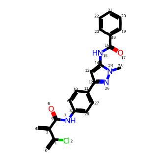 C=C(Cl)C(=C)C(=O)Nc1ccc(-c2cc(NC(=O)c3ccccc3)n(C)n2)cc1